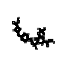 COC(=O)C1CC(Cc2ccc(CO[C@H](C)[C@H](CCC(N)=O)NC(=O)OC(C)(C)C)cc2)C1